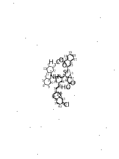 C1CCC(NC2CCCCC2)CC1.COC(=O)c1ccccc1CCCS[C@@H](c1cccc(C=Cc2ccc3ccc(Cl)cc3n2)c1)C1(CC(=O)O)CC1